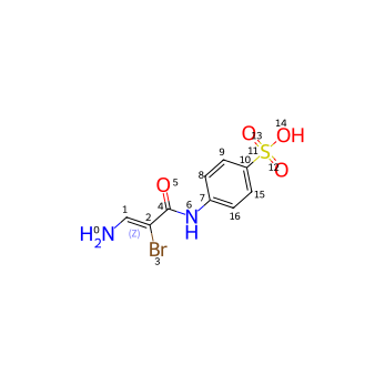 N/C=C(\Br)C(=O)Nc1ccc(S(=O)(=O)O)cc1